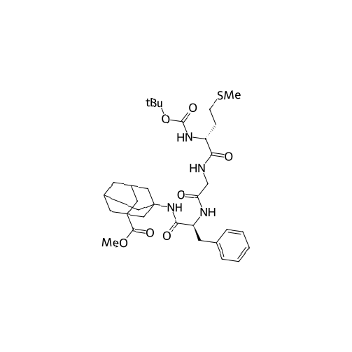 COC(=O)C12CC3CC(CC(NC(=O)[C@H](Cc4ccccc4)NC(=O)CNC(=O)[C@@H](CCSC)NC(=O)OC(C)(C)C)(C3)C1)C2